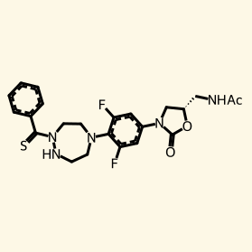 CC(=O)NC[C@H]1CN(c2cc(F)c(N3CCNN(C(=S)c4ccccc4)CC3)c(F)c2)C(=O)O1